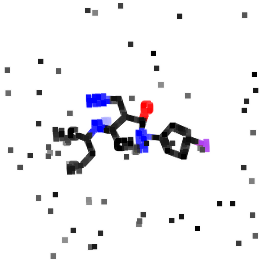 C/C(=N\C(C)CC(C)C)C(C=N)C(=O)Nc1ccc(I)cc1